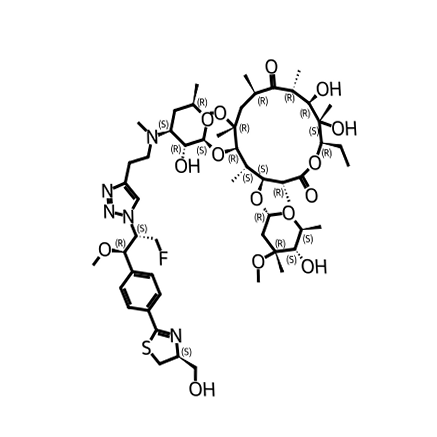 CC[C@H]1OC(=O)[C@H](C)[C@@H](O[C@H]2C[C@@](C)(OC)[C@@H](O)[C@H](C)O2)[C@H](C)[C@@H](O[C@@H]2O[C@H](C)C[C@H](N(C)CCc3cn([C@H](CF)[C@H](OC)c4ccc(C5=N[C@@H](CO)CS5)cc4)nn3)[C@H]2O)[C@](C)(OC)C[C@@H](C)C(=O)[C@H](C)[C@@H](O)[C@]1(C)O